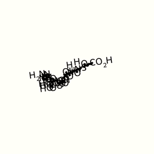 CC(C)(COP(=O)(O)OP(=O)(O)OCC1OC(n2cnc3c(N)ncnc32)C(O)C1OP(=O)(O)O)C(O)C(=O)NCCC(=O)NCCSC(=O)C=CCC(=O)O